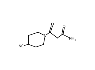 N#CC1CCN(C(=O)[CH]C(N)=O)CC1